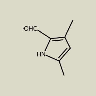 Cc1cc(C)c([C]=O)[nH]1